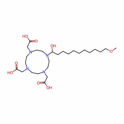 COCCCCCCCCCCC(O)N1CCN(CC(=O)O)CCN(CC(=O)O)CCN(CC(=O)O)CC1